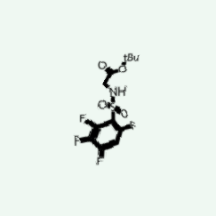 CC(C)(C)OC(=O)CNS(=O)(=O)c1c(F)cc(F)c(F)c1F